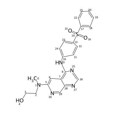 CN(CCO)c1cc2c(Nc3ccc(S(=O)(=O)c4ccccc4)cc3)ncnc2cn1